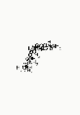 CC(C)NC(=O)CC[C@H](N)C(=O)Nc1ccc2c(c1)[C@@]1(C)CCC[C@](C)(C(=O)NC(=O)[C@@]3(C)CCC[C@]4(C)c5cc(NC(=O)CN)ccc5CC[C@@H]34)[C@@H]1CC2